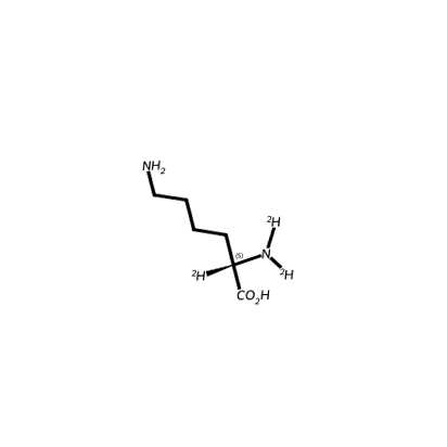 [2H]N([2H])[C@@]([2H])(CCCCN)C(=O)O